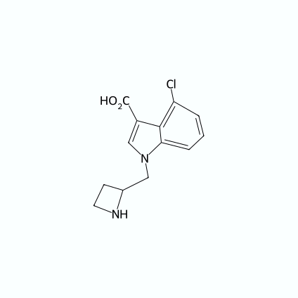 O=C(O)c1cn(CC2CCN2)c2cccc(Cl)c12